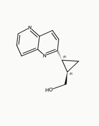 OC[C@@H]1C[C@H]1c1ccc2ncccc2n1